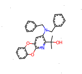 CC(C)(O)c1nc2c(cc1N(Cc1ccccc1)Cc1ccccc1)Oc1ccccc1O2